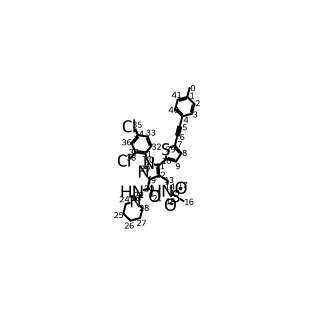 Cc1ccc(C#Cc2ccc(-c3c(CNS(C)(=O)=O)c(C(=O)NN4CCCCC4)nn3-c3ccc(Cl)cc3Cl)s2)cc1